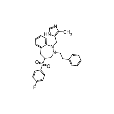 Cc1nc[nH]c1CN1c2ccccc2CC(S(=O)(=O)c2ccc(F)cc2)CN1CCc1ccccc1